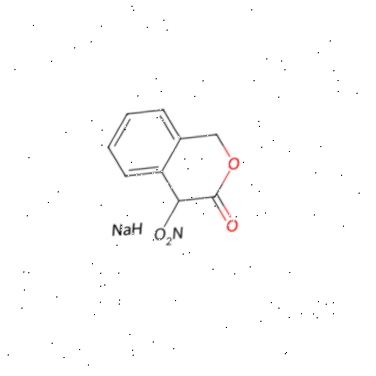 O=C1OCc2ccccc2C1[N+](=O)[O-].[NaH]